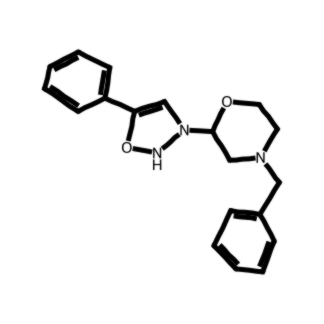 C1=C(c2ccccc2)ONN1C1CN(Cc2ccccc2)CCO1